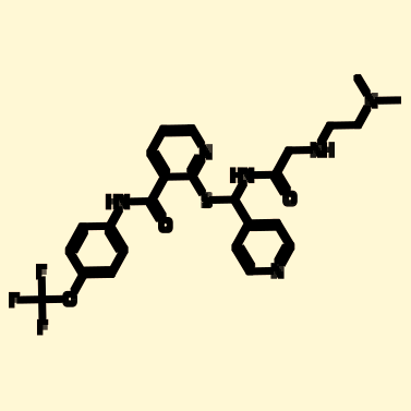 CN(C)CCNCC(=O)NC(Sc1ncccc1C(=O)Nc1ccc(OC(F)(F)F)cc1)c1ccncc1